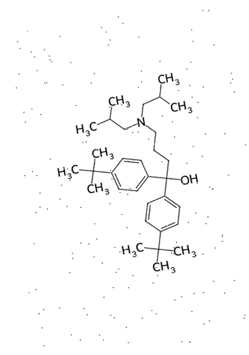 CC(C)CN(CCCC(O)(c1ccc(C(C)(C)C)cc1)c1ccc(C(C)(C)C)cc1)CC(C)C